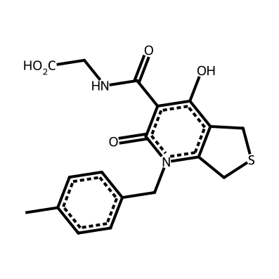 Cc1ccc(Cn2c3c(c(O)c(C(=O)NCC(=O)O)c2=O)CSC3)cc1